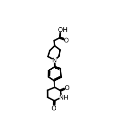 O=C(O)CC1CCN(c2ccc([C@@H]3CCC(=O)NC3=O)cc2)CC1